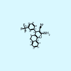 N#CC1=C(N)OC2=C(CCc3ccccc32)C1c1cccc(C(F)(F)F)c1